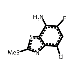 CSc1nc2c(Cl)cc(F)c(N)c2s1